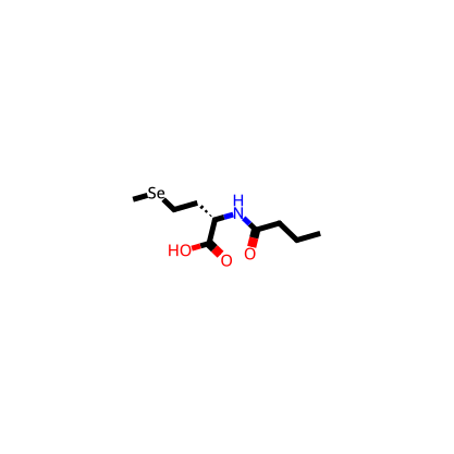 CCCC(=O)N[C@@H](CC[Se]C)C(=O)O